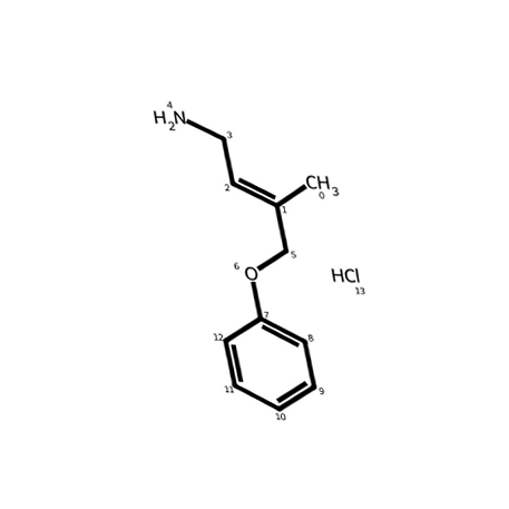 CC(=CCN)COc1ccccc1.Cl